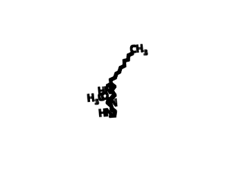 CCCCCCCCCCCc1c[nH]c(/C=C2/N=C(c3ccc[nH]3)C=C2OC)c1